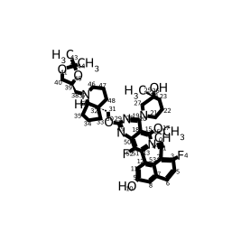 C#Cc1c(F)ccc2cc(O)cc(-c3nc(OC)c4c(N5CCC[C@@](C)(O)C5)nc(OC[C@]56CCC[C@H]5N(C[C@H]5COC(C)(C)O5)CCC6)nc4c3F)c12